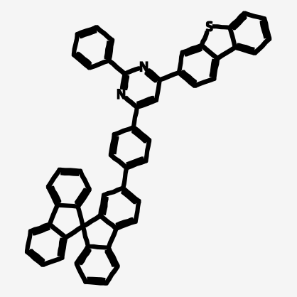 c1ccc(-c2nc(-c3ccc(-c4ccc5c(c4)C4(c6ccccc6-c6ccccc64)c4ccccc4-5)cc3)cc(-c3ccc4c(c3)sc3ccccc34)n2)cc1